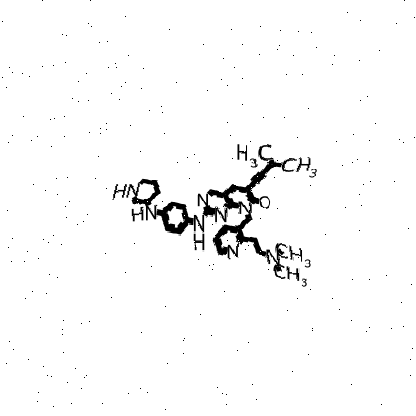 CC(C)C#Cc1cc2cnc(Nc3ccc(NC4CCCNC4)cc3)nc2n(Cc2cccnc2CCN(C)C)c1=O